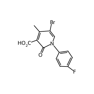 Cc1c(Br)cn(-c2ccc(F)cc2)c(=O)c1C(=O)O